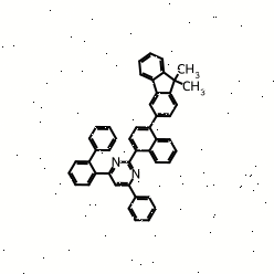 CC1(C)c2ccccc2-c2cc(-c3ccc(-c4nc(-c5ccccc5)cc(-c5ccccc5-c5ccccc5)n4)c4ccccc34)ccc21